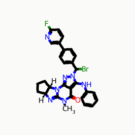 CN1C(=O)c2c(nn(C(Br)c3ccc(-c4ccc(F)nc4)cc3)c2Nc2ccccc2)N2C1=N[C@@H]1CCC[C@@H]12